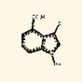 CC(C)(C)n1cc(Cl)c2c(C(=O)O)cccc21